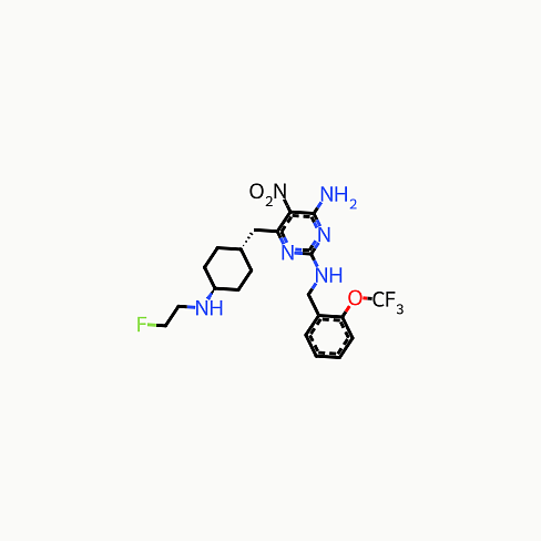 Nc1nc(NCc2ccccc2OC(F)(F)F)nc(C[C@H]2CC[C@H](NCCF)CC2)c1[N+](=O)[O-]